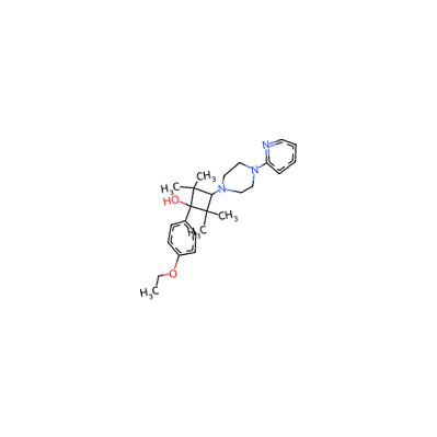 CCOc1ccc(C2(O)C(C)(C)C(N3CCN(c4ccccn4)CC3)C2(C)C)cc1